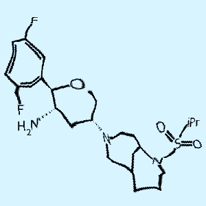 CC(C)S(=O)(=O)N1CCCC2CN([C@H]3CO[C@H](c4cc(F)ccc4F)[C@@H](N)C3)CC21